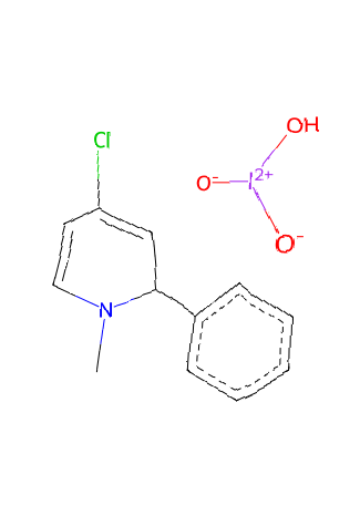 CN1C=CC(Cl)=CC1c1ccccc1.[O-][I+2]([O-])O